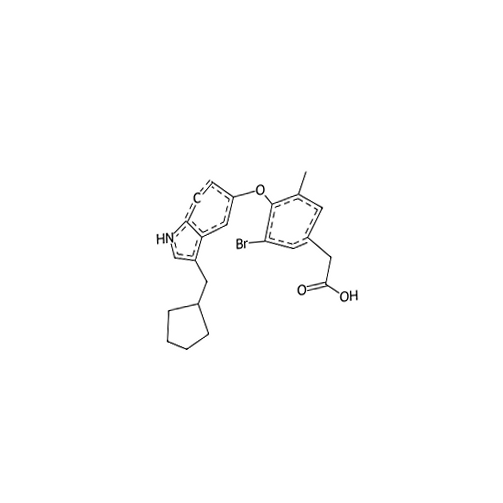 Cc1cc(CC(=O)O)cc(Br)c1Oc1ccc2[nH]cc(CC3CCCC3)c2c1